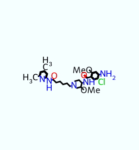 COc1cc(N)c(Cl)cc1C(=O)NC1CCN(CCCCCC(=O)Nc2cc(C)cc(C)n2)CC1OC